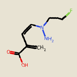 C=C(/C=C\N(N)CCF)C(=O)O